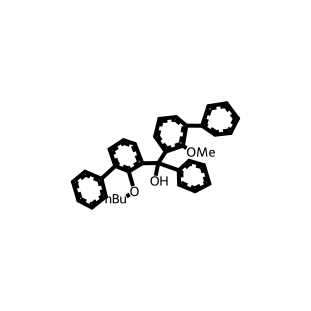 CCCCOc1c(-c2ccccc2)cccc1C(O)(c1ccccc1)c1cccc(-c2ccccc2)c1OC